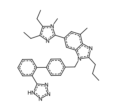 CCCc1nc2c(C)cc(-c3nc(CC)c(CC)n3C)cc2n1Cc1ccc(-c2ccccc2-c2nnn[nH]2)cc1